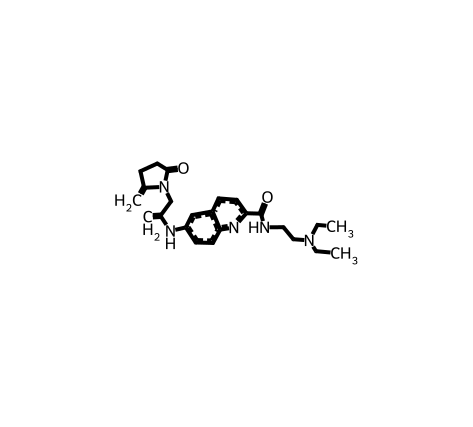 C=C(CN1C(=C)CCC1=O)Nc1ccc2nc(C(=O)NCCN(CC)CC)ccc2c1